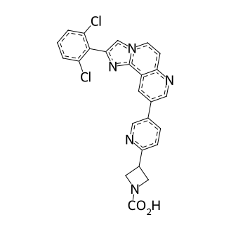 O=C(O)N1CC(c2ccc(-c3cnc4ccn5cc(-c6c(Cl)cccc6Cl)nc5c4c3)cn2)C1